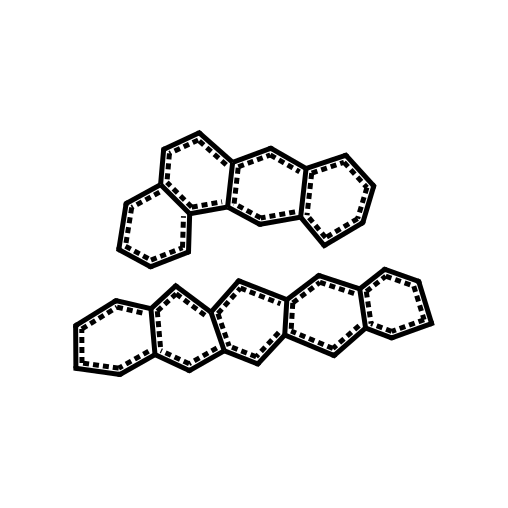 c1ccc2cc3c(ccc4ccccc43)cc2c1.c1ccc2cc3cc4cc5ccccc5cc4cc3cc2c1